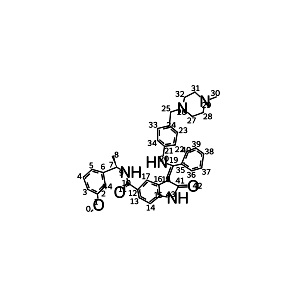 COc1cccc([C@@H](C)NC(=O)c2ccc3c(c2)C(=C(Nc2ccc(CN4CCN(C)CC4)cc2)c2ccccc2)C(=O)N3)c1